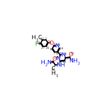 CC1CC(Oc2ccc(-c3nc(N[C@@H](C)C(N)=O)cc(C(N)=O)n3)cn2)=CC=C1F